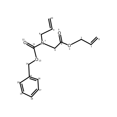 C=CCOC(=O)CN(CC=C)C(=O)OCc1ccccc1